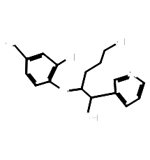 CCCCC(Oc1ccc(Cl)cc1Cl)C(O)c1cccnc1